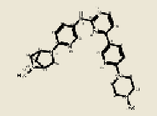 CC(=O)N1CCN(c2ccc(-c3ccnc(Nc4ccc(N5CC6CC5CN6C)nc4)n3)cn2)CC1